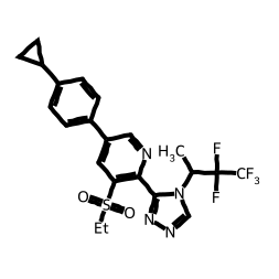 CCS(=O)(=O)c1cc(-c2ccc(C3CC3)cc2)cnc1-c1nncn1C(C)C(F)(F)C(F)(F)F